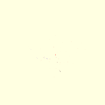 COc1ccc(C(O[C@H]2[C@H](O)[C@@H](CO)O[C@H]2n2ccc(N)nc2=O)(c2ccccc2)c2ccc(OC)cc2)cc1